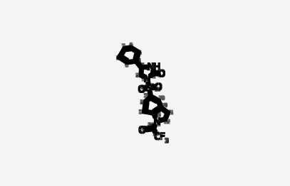 O=C1NC(c2ccccc2)CN1S(=O)(=O)c1ccc2c(c1)CCN2C(=O)C(F)(F)F